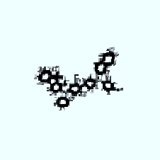 Cc1ccc(N(c2ccc(-c3c(F)c(F)c(N(c4ccccc4)c4ccc5c(c4)C(C)(C)c4ccccc4-5)c(F)c3F)cc2)c2ccc3ccccc3c2)cc1